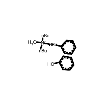 CCCC[N+](C)(CCCC)CCCC.Oc1ccccc1.Oc1ccccc1